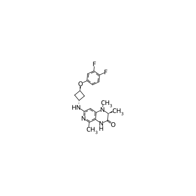 Cc1nc(N[C@H]2C[C@H](Oc3ccc(F)c(F)c3)C2)cc2c1NC(=O)[C@H](C)N2C